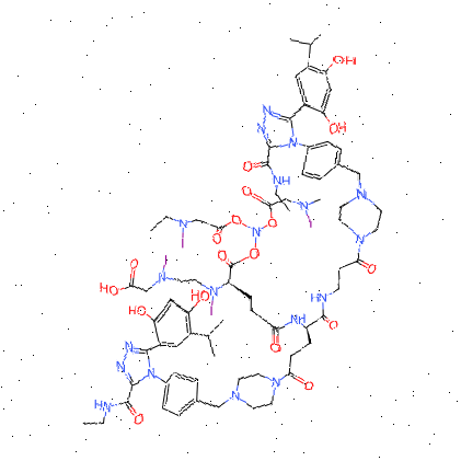 CCNC(=O)c1nnc(-c2cc(C(C)C)c(O)cc2O)n1-c1ccc(CN2CCN(C(=O)CCNC(=O)[C@@H](CCC(=O)N3CCN(Cc4ccc(-n5c(C(=O)NCC)nnc5-c5cc(C(C)C)c(O)cc5O)cc4)CC3)NC(=O)CC[C@H](C(=O)ON(OC(=O)CN(C)I)OC(=O)CN(I)CC)N(I)CCN(I)CC(=O)O)CC2)cc1